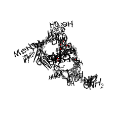 CN[C@H](CC(C)C)C(=O)N[C@H]1C(=O)N[C@@H](CC(N)=O)C(=O)N[C@H]2C(=O)N[C@H]3C(=O)N[C@H](C(=O)N[C@@H](C(=O)NOCCNS(N)(=O)=O)c4cc(O)cc(O)c4-c4cc3ccc4O)[C@H](O)c3ccc(c(Cl)c3)Oc3cc2cc(c3O[C@@H]2O[C@H](CO)[C@@H](O)[C@H](O)[C@H]2O[C@H]2C[C@](C)(NC)[C@H](O)[C@H](C)O2)Oc2ccc(cc2Cl)[C@H]1O